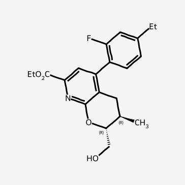 CCOC(=O)c1cc(-c2ccc(CC)cc2F)c2c(n1)O[C@@H](CO)[C@H](C)C2